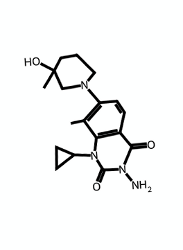 Cc1c(N2CCCC(C)(O)C2)ccc2c(=O)n(N)c(=O)n(C3CC3)c12